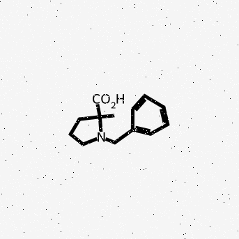 CC1(C(=O)O)CCCN1Cc1ccccc1